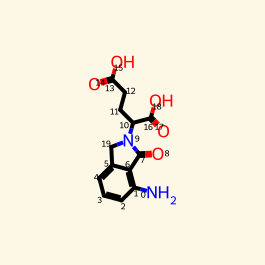 Nc1cccc2c1C(=O)N(C(CCC(=O)O)C(=O)O)C2